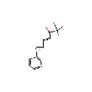 CC(C)(C)C(=O)/C=C/C=C/c1ccccc1